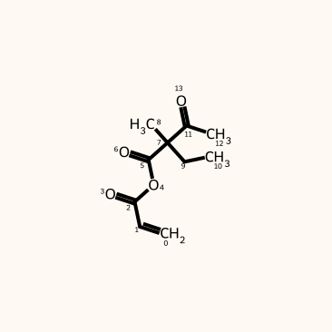 C=CC(=O)OC(=O)C(C)(CC)C(C)=O